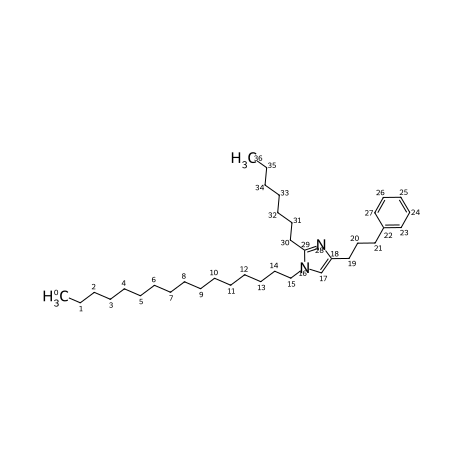 CCCCCCCCCCCCCCCCn1cc(CCCc2ccccc2)nc1CCCCCCC